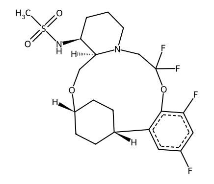 CS(=O)(=O)N[C@H]1CCCN2CC(F)(F)Oc3c(F)cc(F)cc3[C@H]3CC[C@H](CC3)OC[C@@H]12